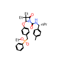 CCC[C@@H](NC(=O)N1C(=O)C(CC)(CC)[C@@H]1Oc1ccc(CP(=O)(OCC)c2ccccc2)cc1)c1ccc(C)cc1